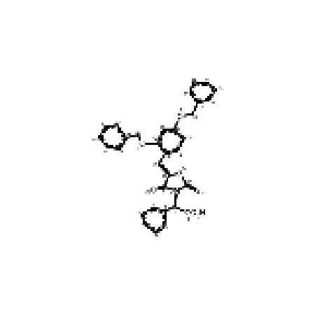 O=C(O)C(c1ccccc1)N1C(=O)C(=Cc2ccc(OCc3ccccc3)cc2OCc2ccccc2)SC1=S